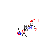 O=C(O)c1cc(C2CCOC2)c2nc(N3C[C@@H]4C[C@H]3C[C@H]4OCc3c(C4CCC5(CC4)CC5)noc3C3CC3)sc2c1